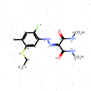 Cc1cc(F)c(NN=C(C(=O)NC(=O)O)C(=O)NC(=O)O)cc1SCC(F)(F)F